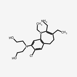 CCC1=C(CN)N(CC)c2cc(N(CCO)CCO)c(Cl)cc2CC1